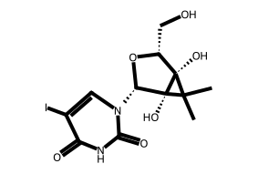 CC1(C)[C@]2(O)[C@@H](CO)O[C@@H](n3cc(I)c(=O)[nH]c3=O)[C@]12O